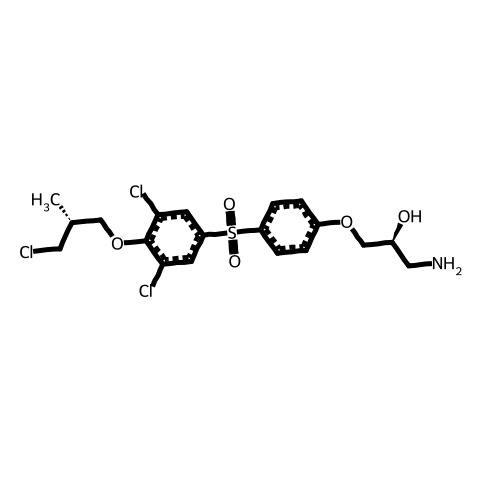 C[C@@H](CCl)COc1c(Cl)cc(S(=O)(=O)c2ccc(OC[C@@H](O)CN)cc2)cc1Cl